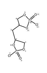 O=P1(Cl)OCC(CC2COP(=O)(Cl)O2)O1